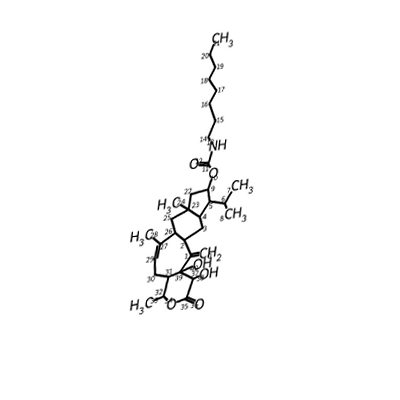 C=C1C2CC3C(C(C)C)C(OC(=O)NCCCCCCCC)CC3(C)CC2/C(C)=C\CC2C(C)OC(=O)C(O)C12O